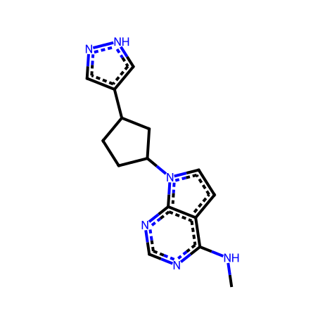 CNc1ncnc2c1ccn2C1CCC(c2cn[nH]c2)C1